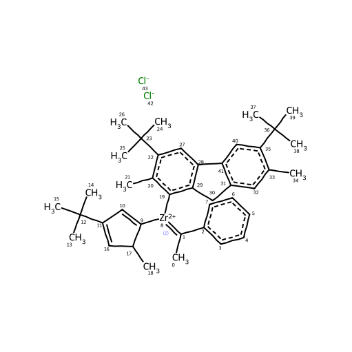 C/[C](c1ccccc1)=[Zr+2](\[C]1=CC(C(C)(C)C)=CC1C)[c]1c(C)c(C(C)(C)C)cc2c1Cc1cc(C)c(C(C)(C)C)cc1-2.[Cl-].[Cl-]